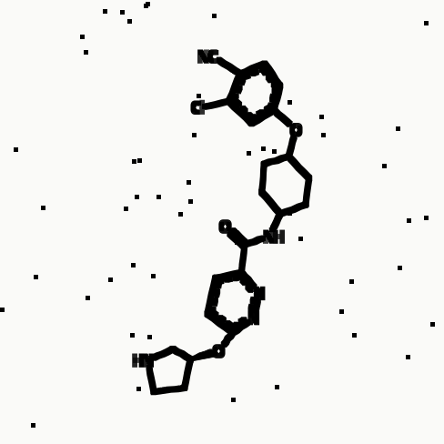 N#Cc1ccc(OC2CCC(NC(=O)c3ccc(O[C@H]4CCNC4)nn3)CC2)cc1Cl